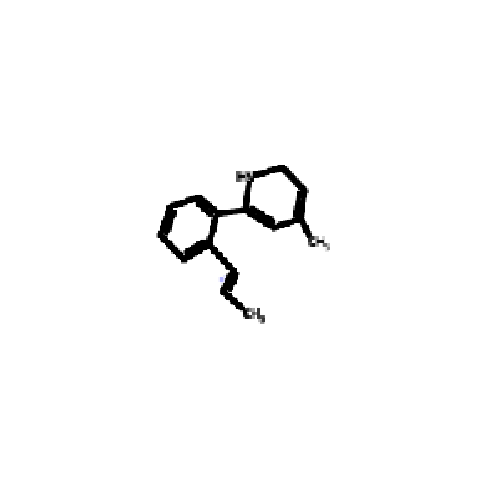 C/C=C/c1ccccc1C1=CC(C)=CCN1